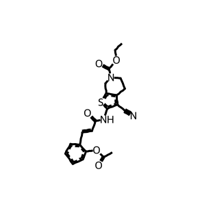 CCOC(=O)N1CCc2c(sc(NC(=O)C=Cc3ccccc3OC(C)=O)c2C#N)C1